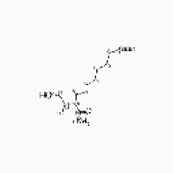 C#CCCCCCCCC(C(N)=O)C(C)CO